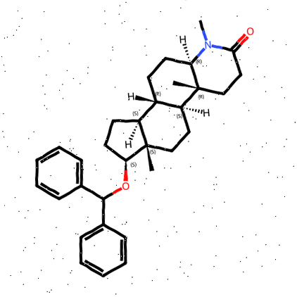 CN1C(=O)CC[C@]2(C)[C@H]3CC[C@]4(C)[C@@H](OC(c5ccccc5)c5ccccc5)CC[C@H]4[C@@H]3CC[C@@H]12